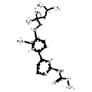 COC(=O)Nc1nccc(-c2ccc(OCC(C)(N)CC(C)C)c(C)n2)n1